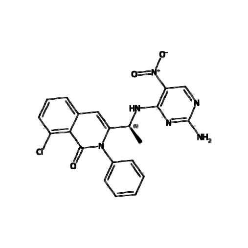 C[C@H](Nc1nc(N)ncc1[N+](=O)[O-])c1cc2cccc(Cl)c2c(=O)n1-c1ccccc1